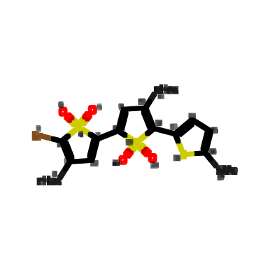 CCCCCCC1=C(Br)S(=O)(=O)C(C2=CC(CCCCCC)=C(c3ccc(SC)s3)S2(=O)=O)=C1